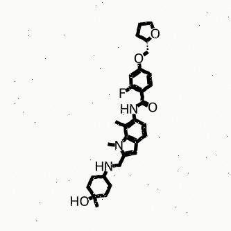 Cc1c(NC(=O)c2ccc(OC[C@@H]3CCCO3)cc2F)ccc2cc(CNC3CCC(C)(O)CC3)n(C)c12